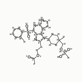 CC(=O)OCCc1nc2c(S(=O)(=O)c3ccccc3C)nc3[nH]ccc3c2n1C1CCC(C)(COS(C)(=O)=O)CC1